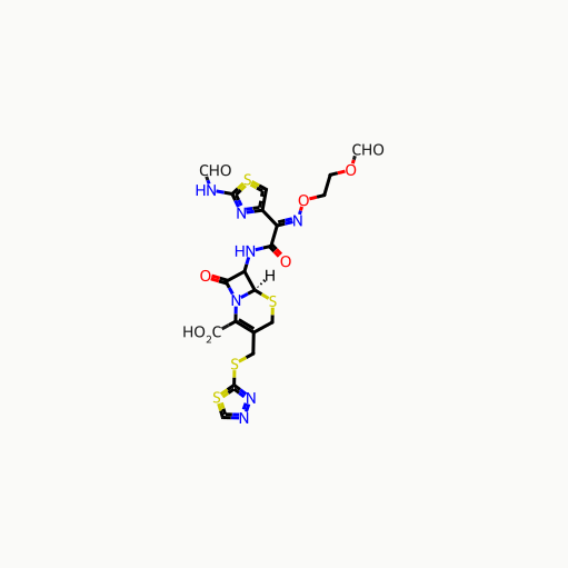 O=CNc1nc(/C(=N\OCCOC=O)C(=O)NC2C(=O)N3C(C(=O)O)=C(CSc4nncs4)CS[C@H]23)cs1